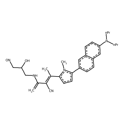 C=C(NCC(O)CN=O)/C(C#N)=C(\C)c1ccc(-c2ccc3cc(N(CCC)CCC)ccc3c2)n1C